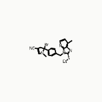 CCSc1nc2c(C)ccnc2n1Cc1ccc(C2(Br)CC(C#N)=CN2C)cc1